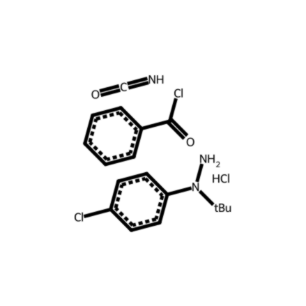 CC(C)(C)N(N)c1ccc(Cl)cc1.Cl.N=C=O.O=C(Cl)c1ccccc1